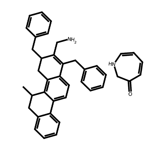 CC1Cc2ccccc2-c2ccc3c(c21)CC(Cc1ccccc1)C(CN)=C3Cc1ccccc1.O=C1C=CC=CNC1